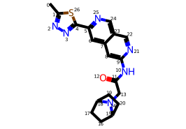 Cc1nnc(-c2cc3cc(NC(=O)CN4C5CCC4CC5)ncc3cn2)s1